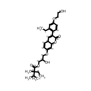 CCc1cc(OCCO)ccc1C1=CC2C=CC(OCC(O)COC(=O)C(C)(CC)C(C)C)=CC2OC1=O